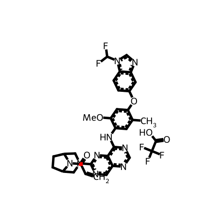 C=CC(=O)N1C2CCC1CN(c1ncc3ncnc(Nc4cc(C)c(Oc5ccc6c(c5)ncn6C(F)F)cc4OC)c3n1)C2.O=C(O)C(F)(F)F